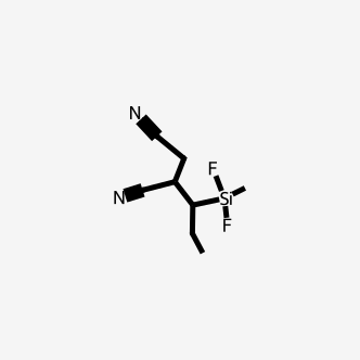 CCC(C(C#N)CC#N)[Si](C)(F)F